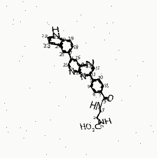 O=C(O)NCCNC(=O)c1ccc(-c2cnc3cc(-c4ccc5[nH]ccc5c4)cnc3n2)cc1